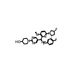 C=Nc1ccc(N2C[C@@H](F)C[C@@H]2c2cc(F)ccc2F)nc1/C(=N\C)c1cnc(N2CCC(O)CC2)nc1